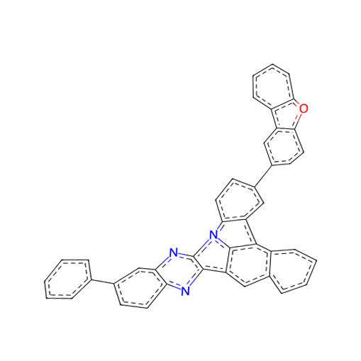 c1ccc(-c2ccc3nc4c5cc6ccccc6c6c7cc(-c8ccc9oc%10ccccc%10c9c8)ccc7n(c4nc3c2)c56)cc1